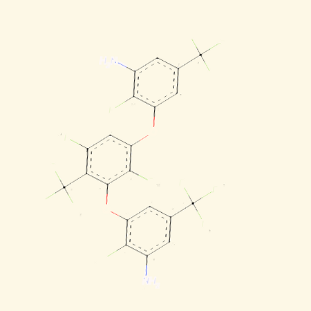 Nc1cc(C(F)(F)F)cc(Oc2cc(F)c(C(F)(F)F)c(Oc3cc(C(F)(F)F)cc(N)c3F)c2F)c1F